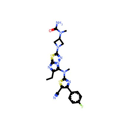 CCc1nc2sc(N3CC(N(C)C(N)=O)C3)nn2c1N(C)c1nc(-c2ccc(F)cc2)c(C#N)s1